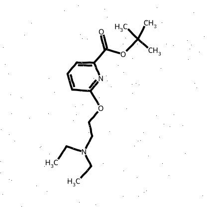 CCN(CC)CCOc1cccc(C(=O)OC(C)(C)C)n1